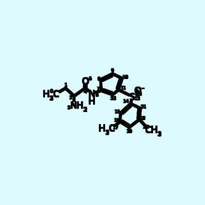 CCC(N)C(=O)Nc1cccc([S+]([O-])c2cc(C)cc(C)c2)c1